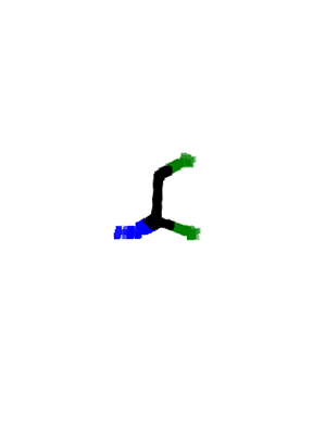 N=C(Br)CBr